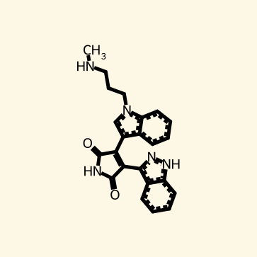 CNCCCn1cc(C2=C(c3n[nH]c4ccccc34)C(=O)NC2=O)c2ccccc21